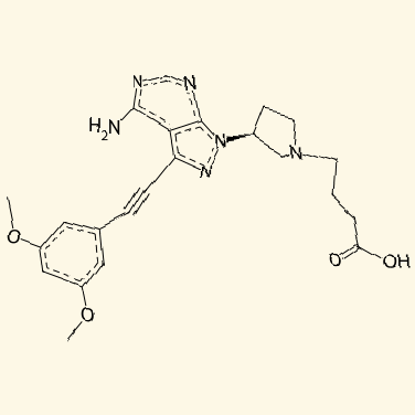 COc1cc(C#Cc2nn([C@H]3CCN(CCCC(=O)O)C3)c3ncnc(N)c23)cc(OC)c1